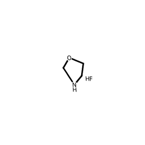 C1COCN1.F